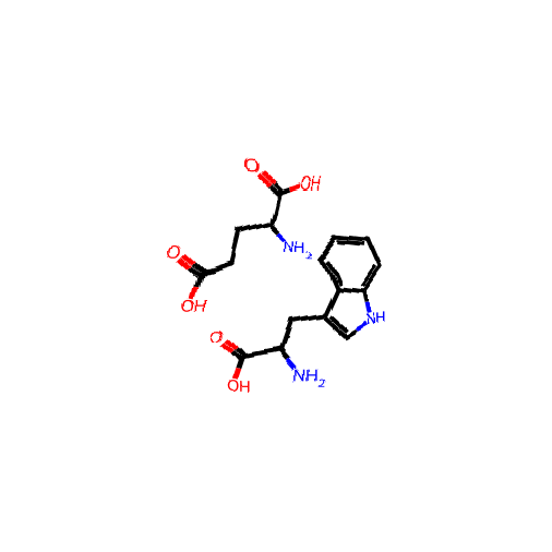 NC(CCC(=O)O)C(=O)O.NC(Cc1c[nH]c2ccccc12)C(=O)O